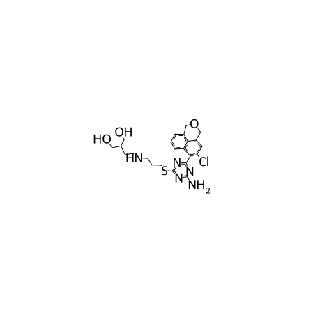 Nc1nc(SCCCNCCC(CO)CO)nc(-c2c(Cl)cc3c4c(cccc24)COC3)n1